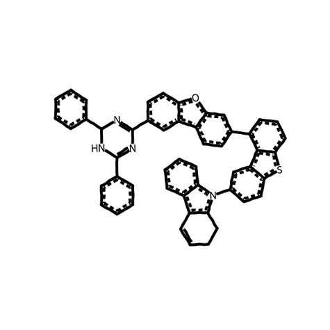 C1=Cc2c(n(-c3ccc4sc5cccc(-c6ccc7c(c6)oc6ccc(C8=NC(c9ccccc9)NC(c9ccccc9)=N8)cc67)c5c4c3)c3ccccc23)CC1